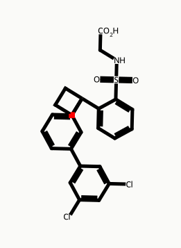 O=C(O)CNS(=O)(=O)c1ccccc1C1(c2cccc(-c3cc(Cl)cc(Cl)c3)c2)CCC1